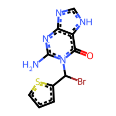 Nc1nc2nc[nH]c2c(=O)n1C(Br)c1cccs1